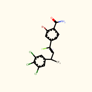 NC(=O)c1ccc(/C(F)=C/C(c2cc(Cl)c(Cl)c(Cl)c2)C(F)(F)F)cc1Br